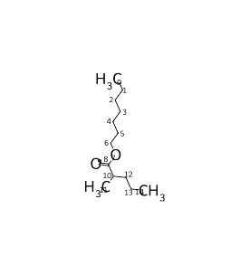 CCCCCCCOC(=O)C(C)CCC